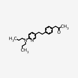 CCCN(CCC)c1ccc(CCc2ccc(CC(C)=O)cc2)cn1